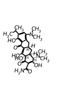 CC(C)c1cc(N(C)C)c2c(c1O)C(=O)C1=C(O)[C@]3(O)C(=O)C(C(N)=O)=C(O)[C@@H](N(C)C)[C@@H]3C[C@@H]1C2